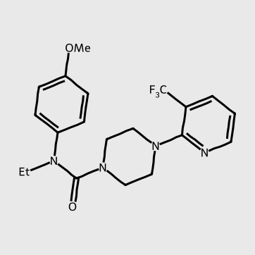 CCN(C(=O)N1CCN(c2ncccc2C(F)(F)F)CC1)c1ccc(OC)cc1